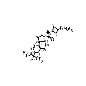 CC(=O)NC1CC(NC(=O)[C@@H]2CCC3c4ccc(C(F)(C(F)(F)F)C(F)(F)F)cc4CCC32)C1